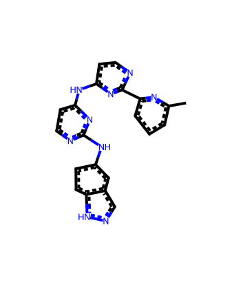 Cc1cccc(-c2nccc(Nc3ccnc(Nc4ccc5[nH]ncc5c4)n3)n2)n1